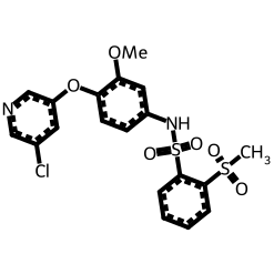 COc1cc(NS(=O)(=O)c2ccccc2S(C)(=O)=O)ccc1Oc1cncc(Cl)c1